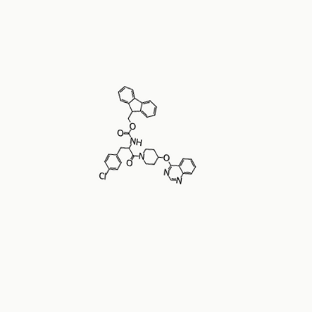 O=C(NC(Cc1ccc(Cl)cc1)C(=O)N1CCC(Oc2ncnc3ccccc23)CC1)OCC1c2ccccc2-c2ccccc21